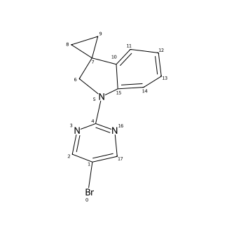 Brc1cnc(N2CC3(CC3)c3ccccc32)nc1